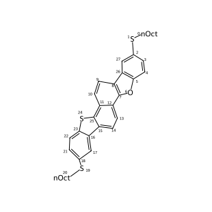 CCCCCCCCSc1ccc2oc3c(ccc4c3ccc3c5cc(SCCCCCCCC)ccc5sc34)c2c1